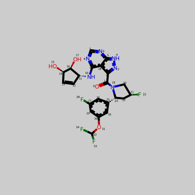 O=C(c1n[nH]c2ncnc(N[C@@H]3C=C[C@@H](O)[C@H]3O)c12)N1C[C@@H](F)C[C@@H]1c1cc(F)cc(OC(F)F)c1